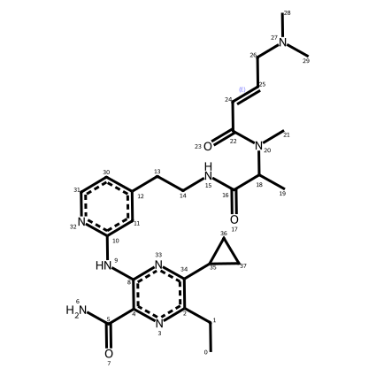 CCc1nc(C(N)=O)c(Nc2cc(CCNC(=O)C(C)N(C)C(=O)/C=C/CN(C)C)ccn2)nc1C1CC1